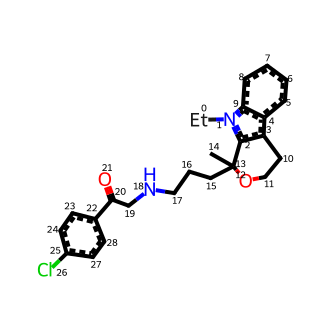 CCn1c2c(c3ccccc31)CCOC2(C)CCCNCC(=O)c1ccc(Cl)cc1